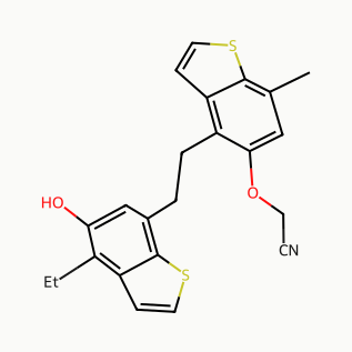 CCc1c(O)cc(CCc2c(OCC#N)cc(C)c3sccc23)c2sccc12